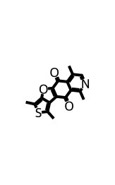 Cc1cnc(C)c2c1C(=O)c1oc3c(C)sc(C)c3c1C2=O